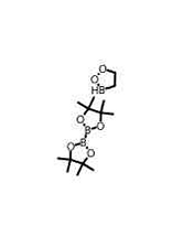 B1CCOO1.CC1(C)OB(B2OC(C)(C)C(C)(C)O2)OC1(C)C